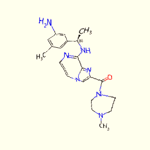 Cc1cc(N)cc([C@@H](C)Nc2nccn3cc(C(=O)N4CCN(C)CC4)nc23)c1